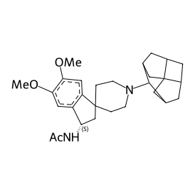 COc1cc2c(cc1OC)C1(CCN(C3C4CC5CC6CC3CC56C4)CC1)C[C@@H]2NC(C)=O